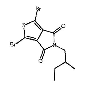 CCC(C)CN1C(=O)c2c(Br)sc(Br)c2C1=O